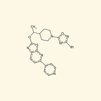 CC(C)c1noc(N2CCC(C(C)Oc3nc4ccc(-c5ccncc5)nc4s3)CC2)n1